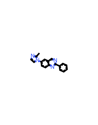 Cc1nccn1-c1ccc2nc(-c3ccccc3)ncc2c1